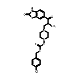 CC(CN1CCN(OC(=O)OCc2ccc(Cl)cc2)CC1)C(=O)c1ccc2[nH]c(=O)oc2c1